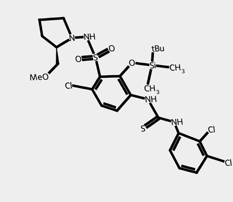 COC[C@H]1CCCN1NS(=O)(=O)c1c(Cl)ccc(NC(=S)Nc2cccc(Cl)c2Cl)c1O[Si](C)(C)C(C)(C)C